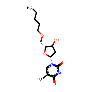 CCCCCOC[C@H]1O[C@@H](n2cc(C)c(=O)[nH]c2=O)CC1O